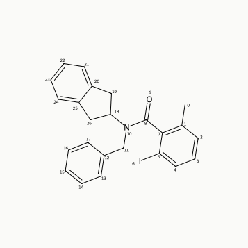 Cc1cccc(I)c1C(=O)N(Cc1ccccc1)C1Cc2ccccc2C1